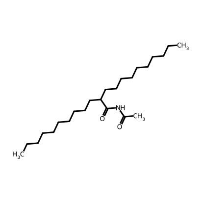 CCCCCCCCCCC(CCCCCCCCCC)C(=O)NC(C)=O